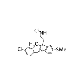 CSc1ccc2c(c1)c(CCNCl)c(C)n2Cc1ccc(Cl)cc1